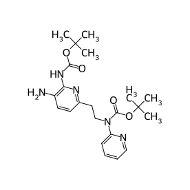 CC(C)(C)OC(=O)Nc1nc(CCN(C(=O)OC(C)(C)C)c2ccccn2)ccc1N